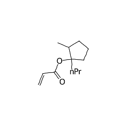 C=CC(=O)OC1(CCC)CCCC1C